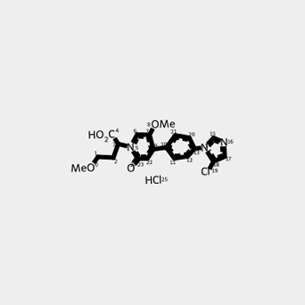 COCCC(C(=O)O)n1cc(OC)c(-c2ccc(-n3cncc3Cl)cc2)cc1=O.Cl